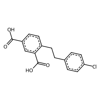 O=C(O)c1ccc(CCc2ccc(Cl)cc2)c(C(=O)O)c1